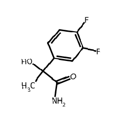 CC(O)(C(N)=O)c1ccc(F)c(F)c1